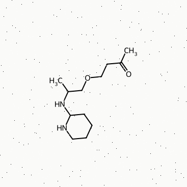 CC(=O)CCOCC(C)NC1CCCCN1